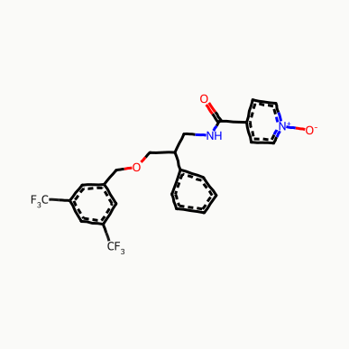 O=C(NCC(COCc1cc(C(F)(F)F)cc(C(F)(F)F)c1)c1ccccc1)c1cc[n+]([O-])cc1